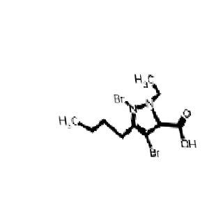 CCCCC1=C(Br)C(C(=O)O)N(CC)N1Br